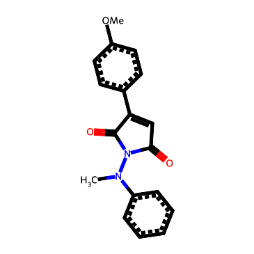 COc1ccc(C2=CC(=O)N(N(C)c3ccccc3)C2=O)cc1